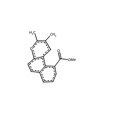 COC(=O)c1cccc2ccc3[o+]c(C)c(C)cc3c12